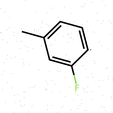 Cc1cc[c]c(F)c1